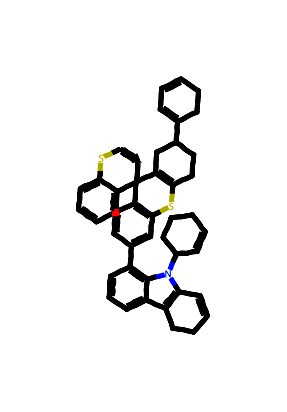 C1=CCCC(C2CCC3=C(C2)C2(C4=CC=CCC4Sc4ccccc42)c2ccc(-c4cccc5c6c(n(C7C=CCCC7)c45)C=CCC6)cc2S3)=C1